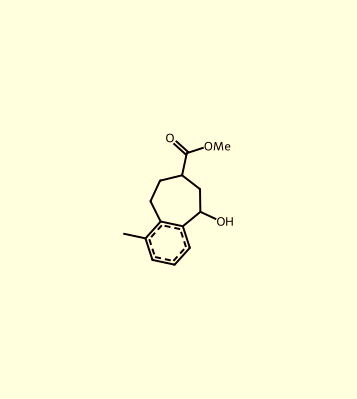 COC(=O)C1CCc2c(C)cccc2C(O)C1